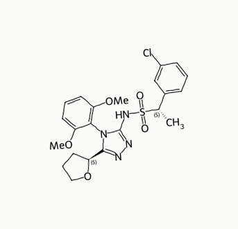 COc1cccc(OC)c1-n1c(NS(=O)(=O)[C@@H](C)c2cccc(Cl)c2)nnc1[C@@H]1CCCO1